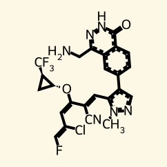 Cn1ncc(-c2ccc3c(=O)[nH]nc(CN)c3c2)c1/C=C(C#N)/C(=C\C(Cl)=C\F)O[C@@H]1C[C@H]1C(F)(F)F